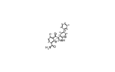 NC(=O)c1ccc(F)c(C(=O)c2c[nH]c3ncc(-c4ccccc4)cc23)c1F